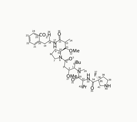 CCC(C)C(C(CC(=O)N1CCC[C@H]1C(OC)C(C)C(=O)NC(Cc1ccccc1)C(=O)O)OC)N(C)C(=O)C(NC(=O)[C@@]1(F)CCNC1)C(C)C